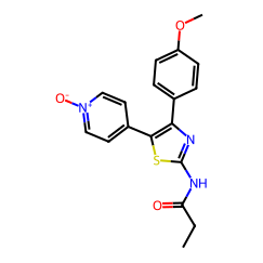 CCC(=O)Nc1nc(-c2ccc(OC)cc2)c(-c2cc[n+]([O-])cc2)s1